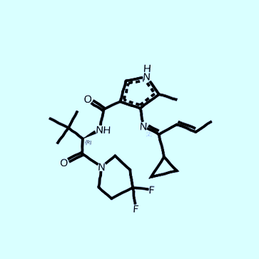 CC=C/C(=N\c1c(C(=O)N[C@@H](C(=O)N2CCC(F)(F)CC2)C(C)(C)C)c[nH]c1C)C1CC1